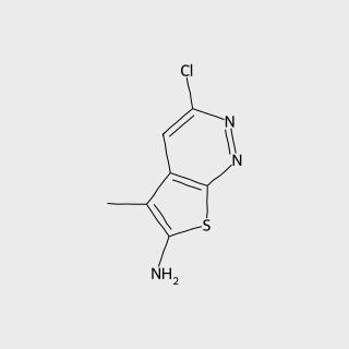 Cc1c(N)sc2nnc(Cl)cc12